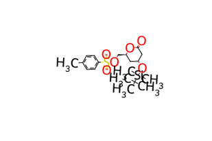 Cc1ccc(S(=O)(=O)OC[C@@H]2CC(O[Si](C)(C)C(C)(C)C)CC(=O)O2)cc1